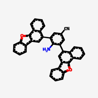 N#Cc1cc(-c2cc3c4ccccc4oc3c3ccccc23)c(N)c(-c2cc3c4ccccc4oc3c3ccccc23)c1